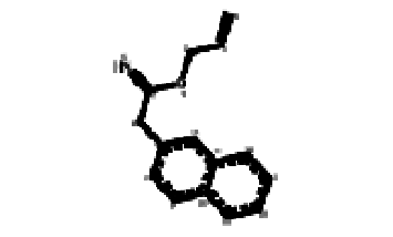 C=CCOC(=N)Cc1ccc2ccccc2c1